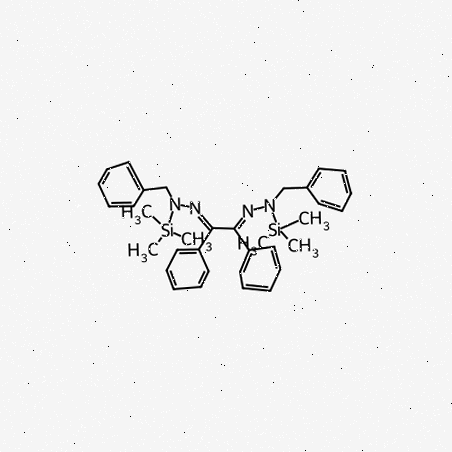 C[Si](C)(C)N(Cc1ccccc1)N=C(C(=NN(Cc1ccccc1)[Si](C)(C)C)c1ccccc1)c1ccccc1